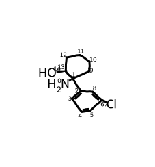 N[C@]1(c2cccc(Cl)c2)CCCC[C@@H]1O